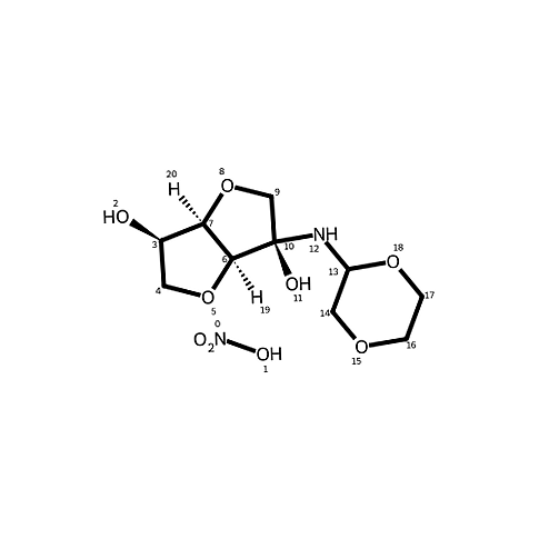 O=[N+]([O-])O.O[C@@H]1CO[C@H]2[C@@H]1OC[C@]2(O)NC1COCCO1